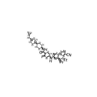 CC[C@@H]1c2c(C#N)ncn2-c2cnc(Nc3ccc(C(=O)NC4CCC(N5CCN(CC6CC6)CC5)CC4)c(F)c3)nc2N1C(C)C